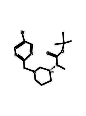 CN(C(=O)OC(C)(C)C)[C@@H]1CCCN(Cc2ncc(Br)cn2)C1